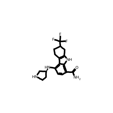 NC(=O)c1ccc(N[C@H]2CCNC2)c2c3c([nH]c12)CC(C(F)(F)F)CC3